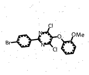 COc1ccccc1Oc1c(Cl)nc(-c2ccc(Br)cc2)nc1Cl